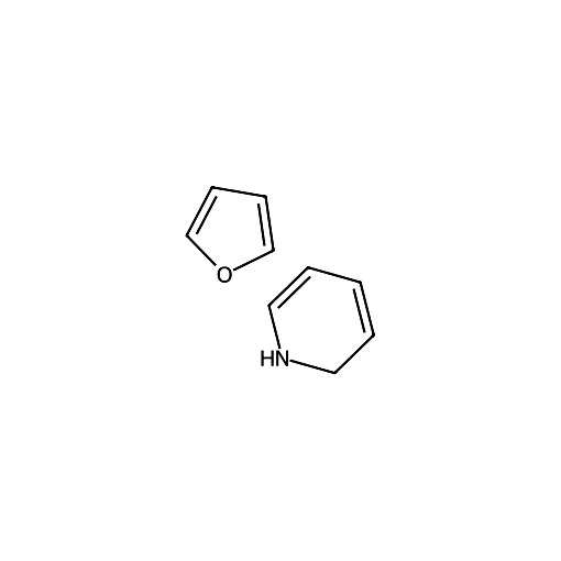 C1=CCNC=C1.c1ccoc1